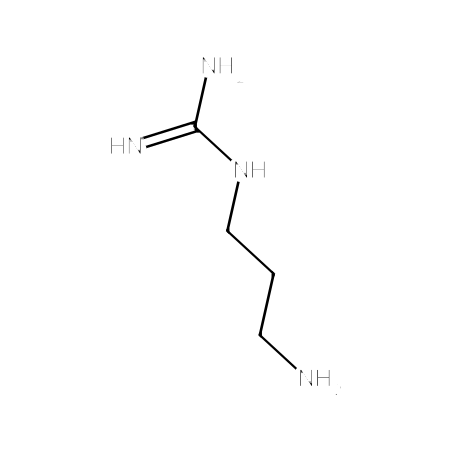 N=C(N)NCCCN